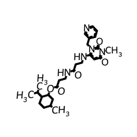 CC1CCC(C(C)C)C(OC(=O)CCNC(=O)CCNc2cc(=O)n(C)c(=O)n2Cc2cccnc2)C1